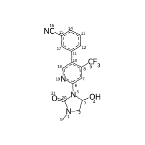 CN1CC(O)N(c2cc(C(F)(F)F)c(-c3cccc(C#N)c3)cn2)C1=O